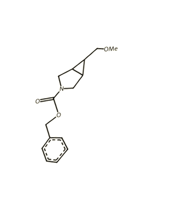 COCC1C2CN(C(=O)OCc3ccccc3)CC12